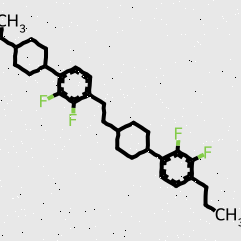 CCCc1ccc(C2CCC(CCc3ccc(C4CCC(CC)CC4)c(F)c3F)CC2)c(F)c1F